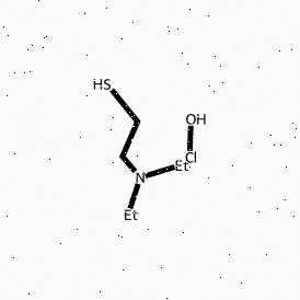 CCN(CC)CCS.OCl